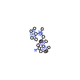 N#Cc1ccc(-c2c(-n3c4ccccc4c4ccccc43)c(-n3c4ccccc4c4ccccc43)cc(-n3c4ccccc4c4c(-c5cccc(-c6nc(-c7ccccc7)nc(-c7cc(-n8c9ccccc9c9ccccc98)c(C#N)c(-n8c9ccccc9c9ccccc98)c7)n6)c5)cccc43)c2-n2c3ccccc3c3ccccc32)cc1